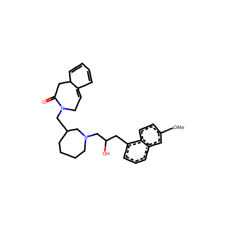 COc1ccc2c(CC(O)CN3CCCCC(CN4CC=C5C=CC=CC5CC4=O)C3)cccc2c1